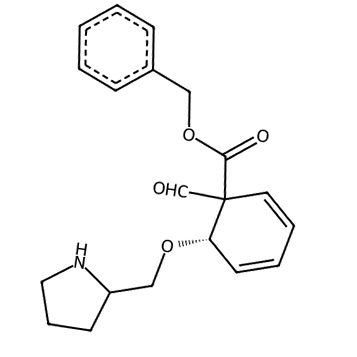 O=CC1(C(=O)OCc2ccccc2)C=CC=C[C@@H]1OCC1CCCN1